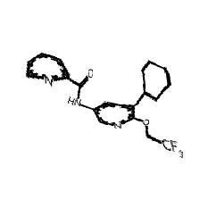 O=C(Nc1cnc(OCC(F)(F)F)c(C2CCCCC2)c1)c1ccccn1